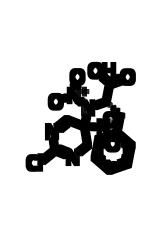 O=C(O)[C@H](Cc1ccccc1)N([N+](=O)[O-])C1([N+](=O)[O-])C=NC(Cl)=NC1